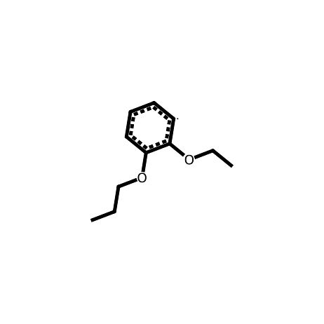 CCCOc1ccc[c]c1OCC